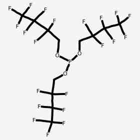 FC(F)(F)C(F)(F)C(F)(F)COP(OCC(F)(F)C(F)(F)C(F)(F)F)OCC(F)(F)C(F)(F)C(F)(F)F